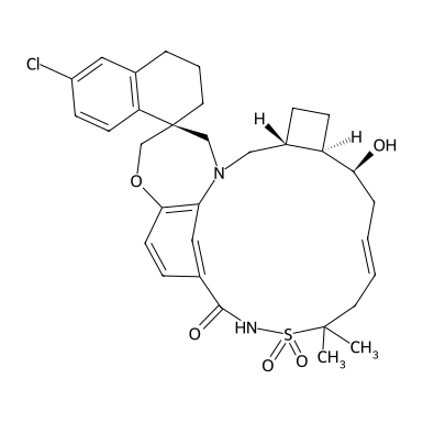 CC1(C)C/C=C/C[C@H](O)[C@@H]2CC[C@H]2CN2C[C@@]3(CCCc4cc(Cl)ccc43)COc3ccc(cc32)C(=O)NS1(=O)=O